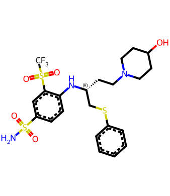 NS(=O)(=O)c1ccc(N[C@H](CCN2CCC(O)CC2)CSc2ccccc2)c(S(=O)(=O)C(F)(F)F)c1